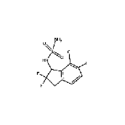 NS(=O)(=O)NC1c2c(ccc(F)c2Cl)CC1(F)F